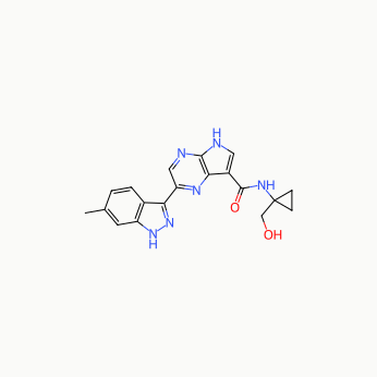 Cc1ccc2c(-c3cnc4[nH]cc(C(=O)NC5(CO)CC5)c4n3)n[nH]c2c1